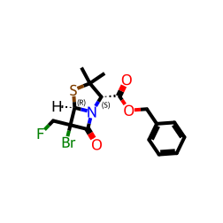 CC1(C)S[C@H]2N(C(=O)C2(Br)CF)[C@H]1C(=O)OCc1ccccc1